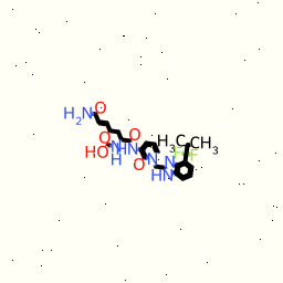 CC(C)C(F)(F)c1cccc2[nH]c(Cn3cccc(NC(=O)C(CC/C=C/C(N)=O)NC(=O)O)c3=O)nc12